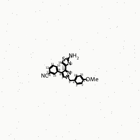 COc1ccc(Cn2cc(-c3cccc(C#N)c3)c(-c3csc(N)n3)n2)cc1